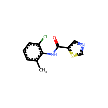 Cc1cccc(Cl)c1NC(=O)c1cn[c]s1